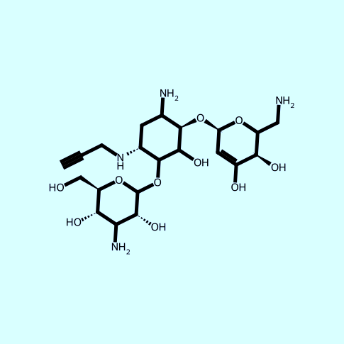 C#CCN[C@@H]1CC(N)[C@@H](O[C@@H]2C=C(O)[C@H](O)C(CN)O2)C(O)C1OC1O[C@H](CO)[C@@H](O)C(N)[C@H]1O